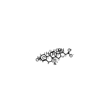 C[C@]12CCC(=O)C=C1CC[C@@H]1[C@@H]2C=C[C@@]2(C)[C@H]1CC[C@@]2(O)CCC(=O)[O-].[K+]